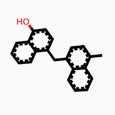 Cc1ccc(Cc2ccc(O)c3ccccc23)c2ccccc12